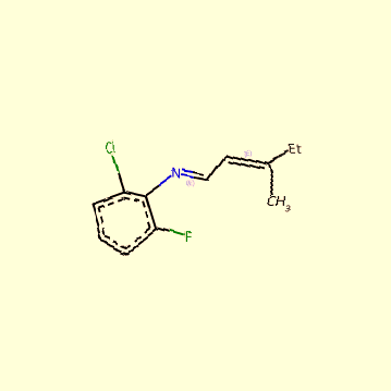 CC/C(C)=C/C=N/c1c(F)cccc1Cl